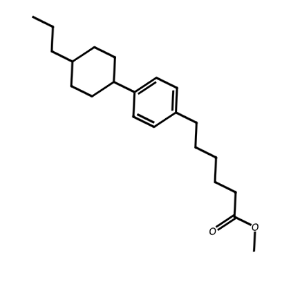 CCCC1CCC(c2ccc(CCCCCC(=O)OC)cc2)CC1